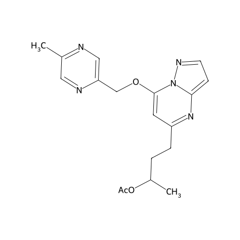 CC(=O)OC(C)CCc1cc(OCc2cnc(C)cn2)n2nccc2n1